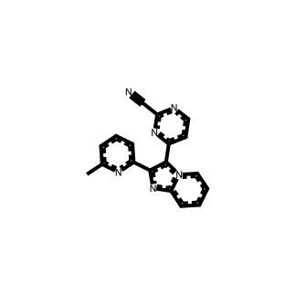 Cc1cccc(-c2nc3ccccn3c2-c2ccnc(C#N)n2)n1